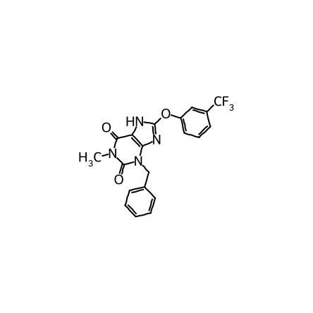 Cn1c(=O)c2[nH]c(Oc3cccc(C(F)(F)F)c3)nc2n(Cc2ccccc2)c1=O